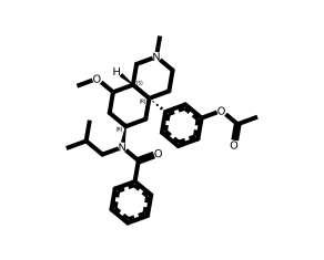 COC1C[C@H](N(CC(C)C)C(=O)c2ccccc2)C[C@]2(c3cccc(OC(C)=O)c3)CCN(C)C[C@@H]12